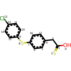 OC(=S)Cc1ccc(Sc2ccc(Cl)cc2)cc1